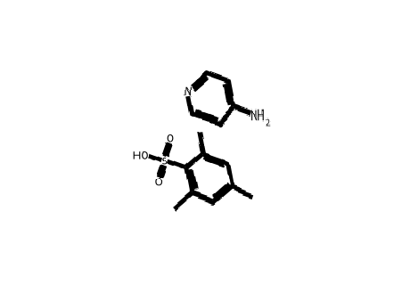 Cc1cc(C)c(S(=O)(=O)O)c(C)c1.Nc1ccncc1